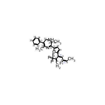 C=C(/C(=C\C(F)=C/C)c1ccc(C2=NC(C)=C(c3ccccc3)CN[C@@H]2C)o1)C(F)(F)F